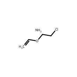 C=COCCCl.N